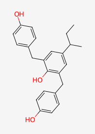 CCC(C)c1cc(Cc2ccc(O)cc2)c(O)c(Cc2ccc(O)cc2)c1